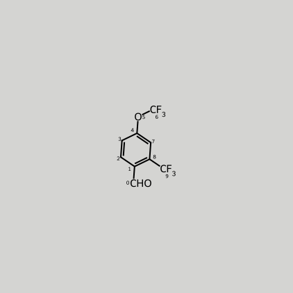 O=Cc1ccc(OC(F)(F)F)cc1C(F)(F)F